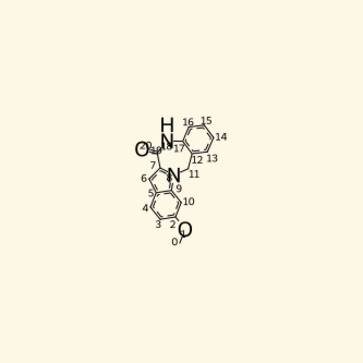 COc1ccc2cc3n(c2c1)Cc1ccccc1NC3=O